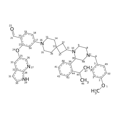 COc1ccc(CN2CCN(C3CC4(CCN(c5ccc(C=O)c(Oc6cnc7[nH]ccc7c6)c5)CC4)C3)C(c3ccccc3C(C)C)C2)cc1